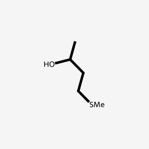 CSCCC(C)O